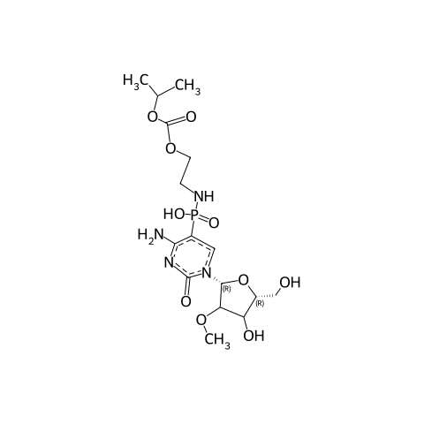 COC1C(O)[C@@H](CO)O[C@H]1n1cc(P(=O)(O)NCCOC(=O)OC(C)C)c(N)nc1=O